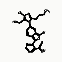 CCCCc1nc(Cl)c(CO)n1-c1ccc2c(-c3ccccc3C(=O)O)oc(Br)c2c1